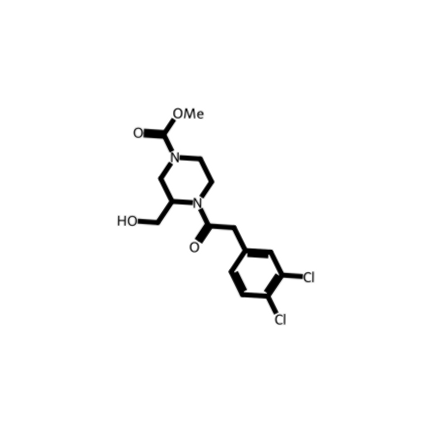 COC(=O)N1CCN(C(=O)Cc2ccc(Cl)c(Cl)c2)C(CO)C1